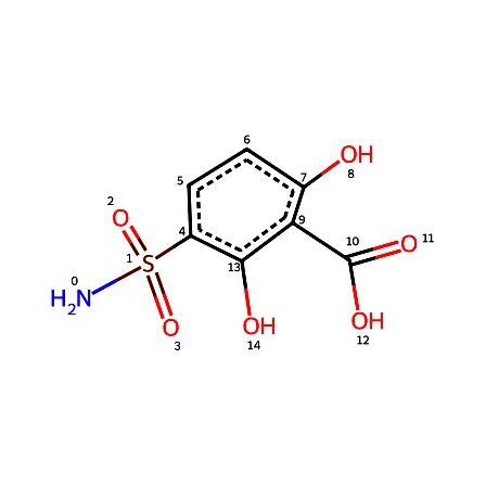 NS(=O)(=O)c1ccc(O)c(C(=O)O)c1O